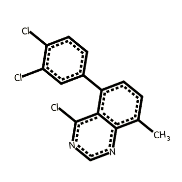 Cc1ccc(-c2ccc(Cl)c(Cl)c2)c2c(Cl)ncnc12